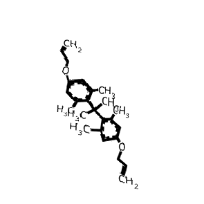 C=CCOc1cc(C)c(C(C)(C)c2c(C)cc(OCC=C)cc2C)c(C)c1